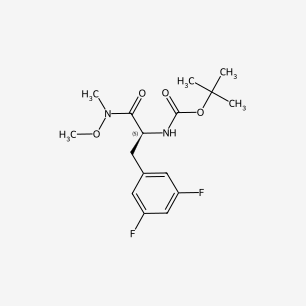 CON(C)C(=O)[C@H](Cc1cc(F)cc(F)c1)NC(=O)OC(C)(C)C